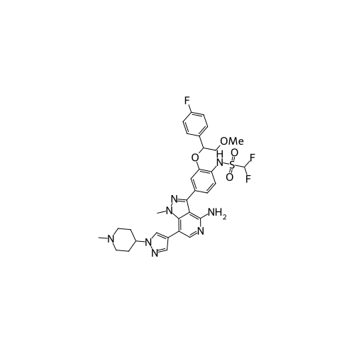 COCC(Oc1cc(-c2nn(C)c3c(-c4cnn(C5CCN(C)CC5)c4)cnc(N)c23)ccc1NS(=O)(=O)C(F)F)c1ccc(F)cc1